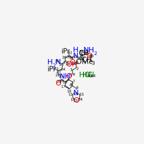 COCCCCOc1cc(CN2CCOCC2)ccc1C(=O)NC[C@@H](C[C@H](N)[C@@H](O)C[C@H](C(=O)NCC(C)(C)C(N)=O)C(C)C)C(C)C.Cl.Cl